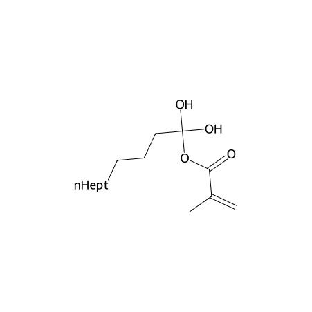 C=C(C)C(=O)OC(O)(O)CCCCCCCCCC